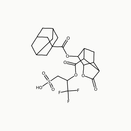 O=C1OC2C3CC(C2OC(=O)C24CC5CC(CC(C5)C2)C4)C(C(=O)OC(CS(=O)(=O)O)C(F)(F)F)C13